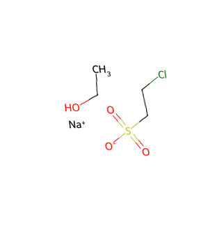 CCO.O=S(=O)([O-])CCCl.[Na+]